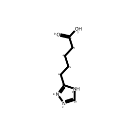 O=C(O)CCCCc1nnc[nH]1